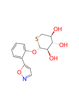 O[C@@H]1[C@@H](O)[C@H](Oc2ccccc2-c2ccno2)SC[C@H]1O